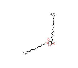 CCCCCCCCCCCCCCC(C(=O)O)C(=O)OCCCCCCCCCCCC